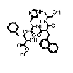 CC(C)OC(=O)C(O)[C@H](CC1CCCCC1)NC(=O)[C@H](Cc1c[nH]cn1)NC(=O)C(Cc1cccc2ccccc12)C(=O)N[C@@H](C)CO